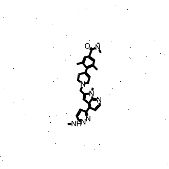 CNc1ccc(-c2ccnc3c2cc(CN2CC=C(c4c(C)cc(C(=O)N(C)C)cc4C)CC2)n3C)nn1